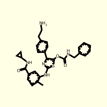 Cc1ccc(C(=O)NC2CC2)cc1Nc1nc(-c2ccc(CCN)cc2)c(OC(=O)NCc2ccccc2)s1